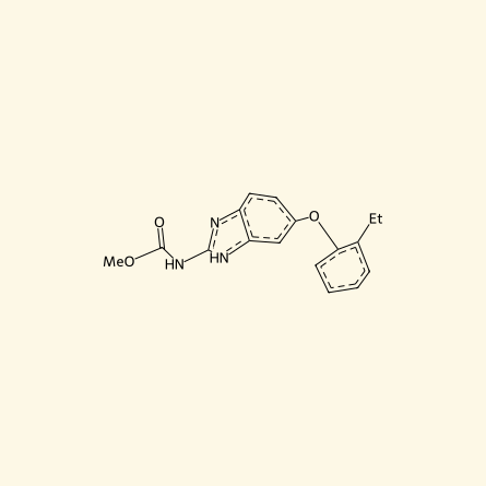 CCc1ccccc1Oc1ccc2nc(NC(=O)OC)[nH]c2c1